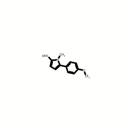 Cn1c(C=O)ccc1-c1ccc(OC(F)(F)F)cc1